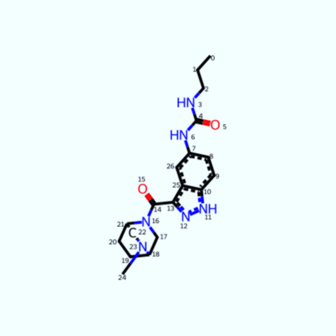 CCCNC(=O)Nc1ccc2[nH]nc(C(=O)N3CC4CCC3CN4C)c2c1